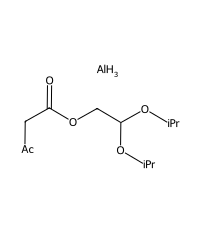 CC(=O)CC(=O)OCC(OC(C)C)OC(C)C.[AlH3]